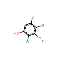 Oc1cc(Cl)c(Cl)c(Cl)c1Cl.[Li]